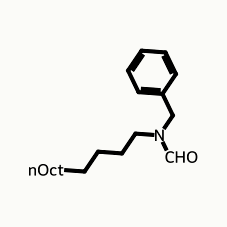 CCCCCCCCCCCCN(C=O)Cc1ccccc1